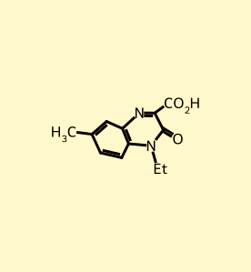 CCn1c(=O)c(C(=O)O)nc2cc(C)ccc21